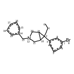 CCC1(c2cccc(Br)c2)C2CN(Cc3ccccc3)CC21